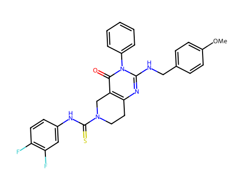 COc1ccc(CNc2nc3c(c(=O)n2-c2ccccc2)CN(C(=S)Nc2ccc(F)c(F)c2)CC3)cc1